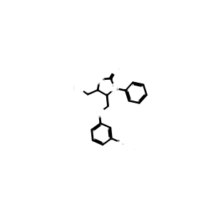 O=C1OC(CO)C(COc2cccc([N+](=O)[O-])c2)N1c1ccccc1